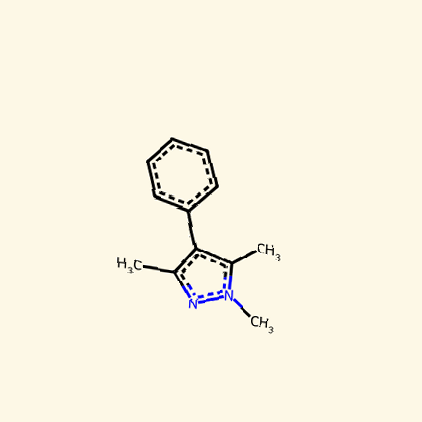 Cc1nn(C)c(C)c1-c1ccccc1